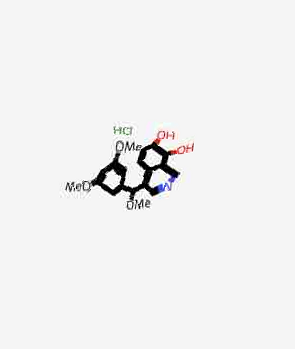 COc1cc(OC)cc(C(OC)c2cncc3c(O)c(O)ccc23)c1.Cl